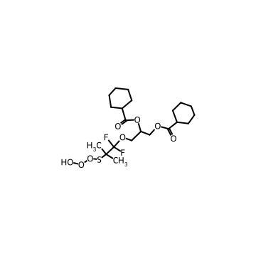 CC(C)(SOOO)C(F)(F)OCC(COC(=O)C1CCCCC1)OC(=O)C1CCCCC1